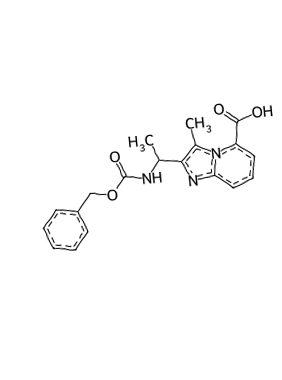 Cc1c(C(C)NC(=O)OCc2ccccc2)nc2cccc(C(=O)O)n12